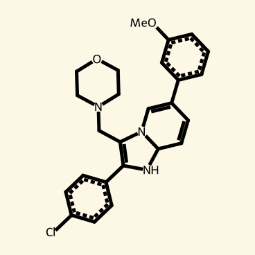 COc1cccc(C2=CN3C(CN4CCOCC4)=C(c4ccc(Cl)cc4)NC3C=C2)c1